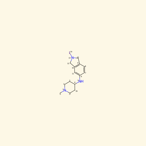 CN1CCC(Nc2ccc3c(c2)CN(I)C3)CC1